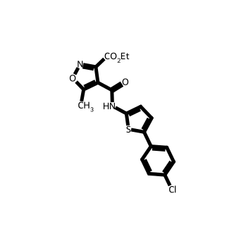 CCOC(=O)c1noc(C)c1C(=O)Nc1ccc(-c2ccc(Cl)cc2)s1